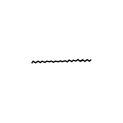 CCCCC=CCCCCCCCCCCCCCCCCCCCCCC